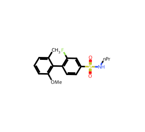 CCCNS(=O)(=O)c1ccc(-c2c(C)cccc2OC)c(F)c1